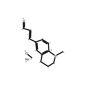 CN1CCCc2cc(/C=C/C=O)ccc21.C[O-].[Na+]